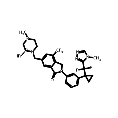 CC(C)[C@H]1CN(C)CCN1Cc1cc2c(c(C(F)(F)F)c1)CN(c1cccc(C3(C(F)(F)c4nncn4C)CC3)c1)C2=O